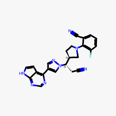 N#CC[C@@H]([C@H]1CCN(c2c(F)cccc2C#N)C1)n1cc(-c2ncnc3[nH]ccc23)cn1